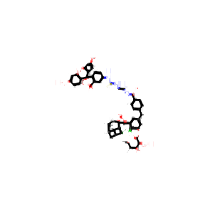 CCC1O[C@@H](Oc2cc(Cc3ccc(C(=O)NCCNC(=S)Nc4ccc5c(c4)C(=O)OC54c5ccc(O)cc5Oc5cc(O)ccc54)cc3)cc(C3(OC)OOC34C3CC5CC6CC4C56C3)c2Cl)C(O)C(O)[C@H]1C